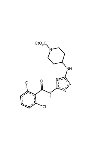 CCOC(=O)N1CCC(Nc2nnc(NC(=O)c3c(Cl)cccc3Cl)s2)CC1